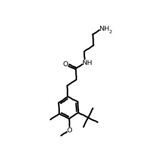 COc1c(C)cc(CCC(=O)NCCCN)cc1C(C)(C)C